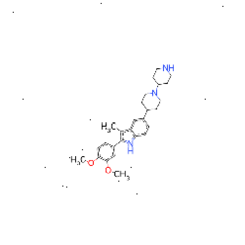 COc1ccc(-c2[nH]c3ccc(C4CCN(C5CCNCC5)CC4)cc3c2C)cc1OC